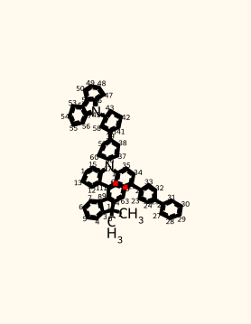 CC1(C)c2ccccc2-c2c(-c3ccccc3N(c3ccc(-c4ccc(-c5ccccc5)cc4)cc3)c3ccc(-c4cccc(-n5c6ccccc6c6ccccc65)c4)cc3)cccc21